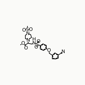 COC(=O)C(CNS(=O)(=O)c1ccc(OCc2cccc(C#N)c2)cc1)N1CCN(S(C)(=O)=O)CC1